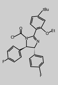 CCOc1cc(C(C)(C)C)ccc1C1=N[C@H](c2ccc(F)cc2)[C@@H](c2ccc(F)cc2)N1C(=O)Cl